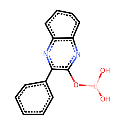 OB(O)Oc1nc2ccccc2nc1-c1ccccc1